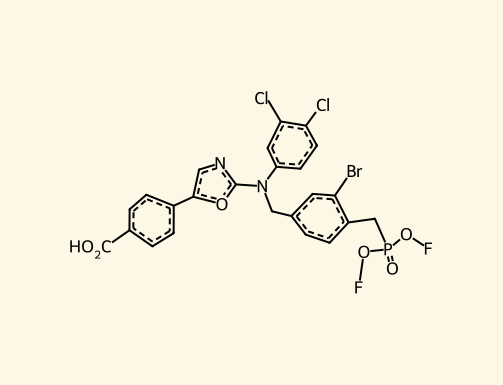 O=C(O)c1ccc(-c2cnc(N(Cc3ccc(CP(=O)(OF)OF)c(Br)c3)c3ccc(Cl)c(Cl)c3)o2)cc1